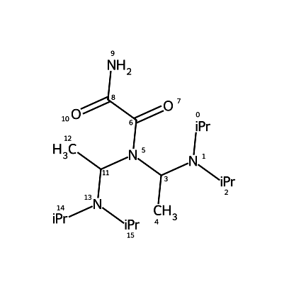 CC(C)N(C(C)C)C(C)N(C(=O)C(N)=O)C(C)N(C(C)C)C(C)C